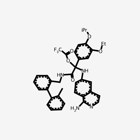 CCOc1cc(C(Nc2ccc3c(N)nccc3c2)(OC(=O)C(F)(F)F)C(=O)NCc2ccccc2-c2ccccc2C)ccc1OC(C)C